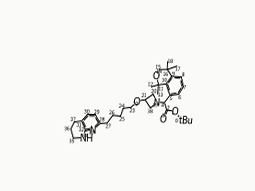 CC(C)(C)OC(=O)C(c1cccc2c1C(C)(C)OCC2(C)C)N1CC(OCCCCCc2ccc3c(n2)NCCC3)C1